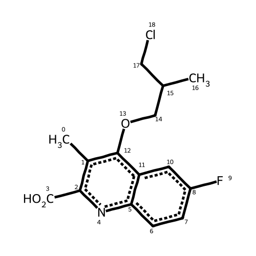 Cc1c(C(=O)O)nc2ccc(F)cc2c1OCC(C)CCl